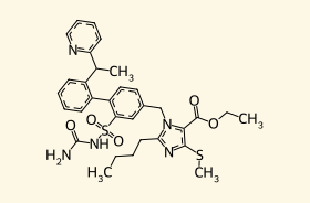 CCCCc1nc(SC)c(C(=O)OCC)n1Cc1ccc(-c2ccccc2C(C)c2ccccn2)c(S(=O)(=O)NC(N)=O)c1